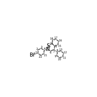 Brc1ccc(N2C=C(c3ccccc3)c3ccccc3S2)cc1